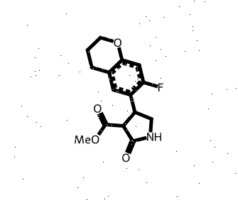 COC(=O)C1C(=O)NCC1c1cc2c(cc1F)OCCC2